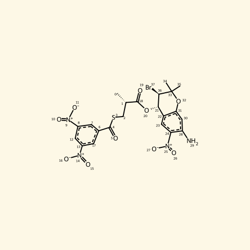 C[C@@H](CSC(=O)c1cc([N+](=O)[O-])cc([N+](=O)[O-])c1)C(=O)O[C@H]1c2cc([N+](=O)[O-])c(N)cc2OC(C)(C)[C@@H]1Br